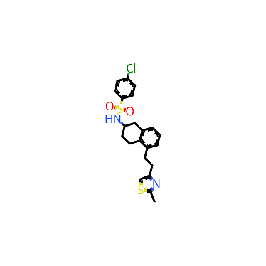 Cc1nc(CCc2cccc3c2CCC(NS(=O)(=O)c2ccc(Cl)cc2)C3)cs1